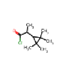 CC(C(=O)Cl)C1C(C)(C)C1(C)C